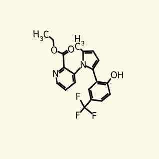 CCOC(=O)c1ncccc1-n1c(C)ccc1-c1cc(C(F)(F)F)ccc1O